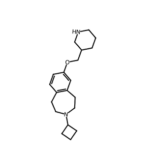 c1cc2c(cc1OCC1CCCNC1)CCN(C1CCC1)CC2